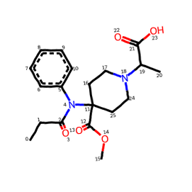 CCC(=O)N(c1ccccc1)C1(C(=O)OC)CCN(C(C)C(=O)O)CC1